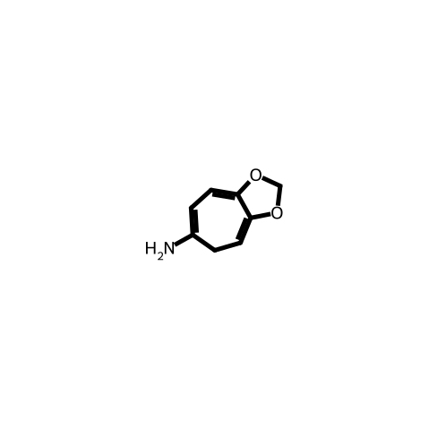 NC1=CC=C2OCOC2=CC1